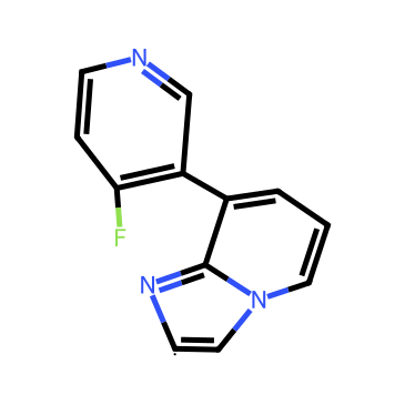 Fc1ccncc1-c1cccn2c[c]nc12